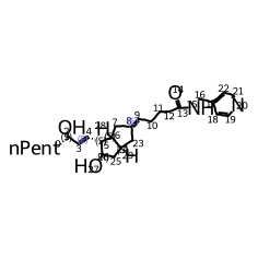 CCCCC[C@H](O)/C=C/[C@@H]1[C@H]2C/C(=C/CCCC(=O)NCc3ccncc3)C[C@H]2C[C@H]1O